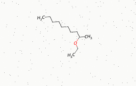 CCCCCCCCC(C)OCC